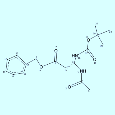 CC(=O)N[C@H](CC(=O)OCc1ccccc1)NC(=O)OC(C)(C)C